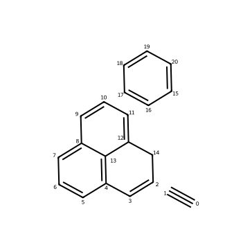 C#C.C1=Cc2cccc3cccc(c23)C1.c1ccccc1